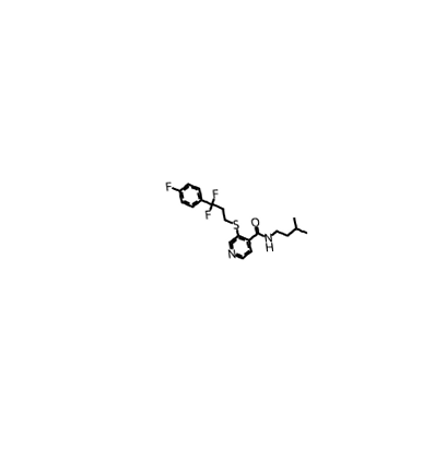 CC(C)CCNC(=O)c1ccncc1SCCC(F)(F)c1ccc(F)cc1